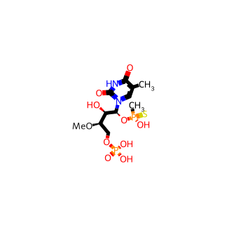 CO[C@H](COP(=O)(O)O)[C@@H](O)[C@@H](OP(C)(O)=S)n1cc(C)c(=O)[nH]c1=O